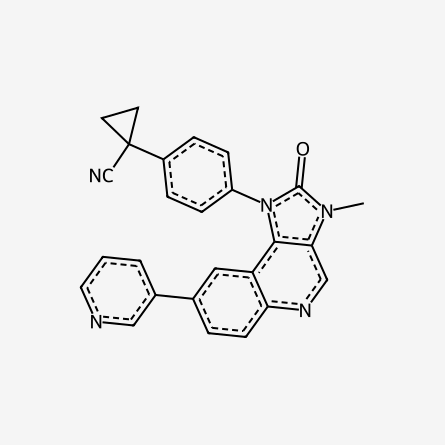 Cn1c(=O)n(-c2ccc(C3(C#N)CC3)cc2)c2c3cc(-c4cccnc4)ccc3ncc21